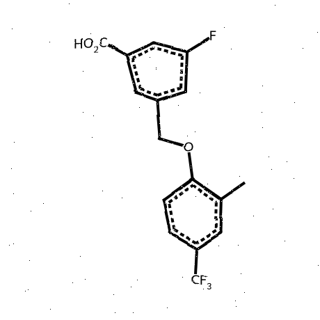 Cc1cc(C(F)(F)F)ccc1OCc1cc(F)cc(C(=O)O)c1